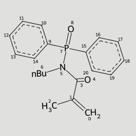 C=C(C)C(=O)N(CCCC)P(=O)(c1ccccc1)c1ccccc1